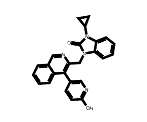 O=c1n(Cc2ncc3ccccc3c2-c2ccc(O)nc2)c2ccccc2n1C1CC1